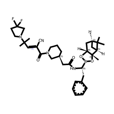 CC1(C)[C@@H]2C[C@H]3OB([C@H](Cc4ccccc4)NC(=O)C[C@@H]4CCCN(C(=O)/C(C#N)=C/C(C)(C)N5CCC(F)(F)C5)C4)O[C@@]3(C)[C@H]1C2